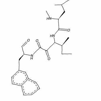 CC[C@H](C)C(NC(=O)[C@H](CC(C)C)NC)C(=O)C(=O)N[C@H](C=O)Cc1ccc2ccccc2c1